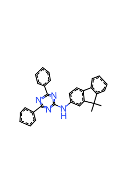 CC1(C)c2ccccc2-c2ccc(Nc3nc(-c4ccccc4)nc(-c4ccccc4)n3)cc21